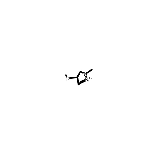 COC1C=[N+]N(C)C1